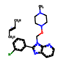 CN1CCN(OCn2c(-c3cccc(Br)c3)nc3cccnc32)CC1.O=C(O)/C=C/C(=O)O